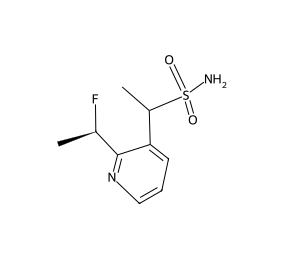 CC(c1cccnc1[C@@H](C)F)S(N)(=O)=O